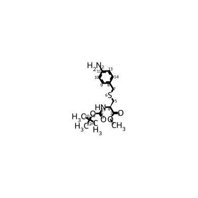 COC(=O)[C@H](CSCc1ccc(N)cc1)NC(=O)OC(C)(C)C